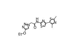 CCOc1cn(CC(=O)Nc2nc(-c3sc(C)nc3C)cs2)nn1